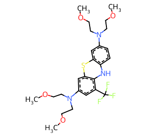 COCCN(CCOC)c1ccc2c(c1)Sc1cc(N(CCOC)CCOC)cc(C(F)(F)F)c1N2